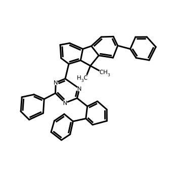 CC1(C)c2cc(-c3ccccc3)ccc2-c2cccc(-c3nc(-c4ccccc4)nc(-c4ccccc4-c4ccccc4)n3)c21